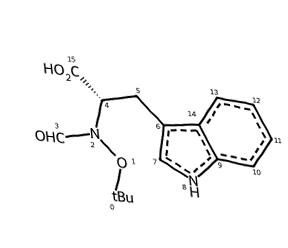 CC(C)(C)ON(C=O)[C@@H](Cc1c[nH]c2ccccc12)C(=O)O